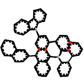 c1ccc(-c2ccccc2N(c2ccccc2-c2cccc(-n3c4ccccc4c4ccccc43)c2)c2ccc(-c3ccc4ccccc4c3)c3ccccc23)cc1